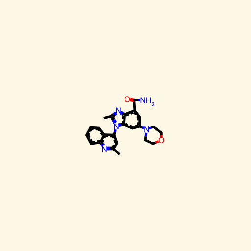 Cc1cc(-n2c(C)nc3c(C(N)=O)cc(N4CCOCC4)cc32)c2ccccc2n1